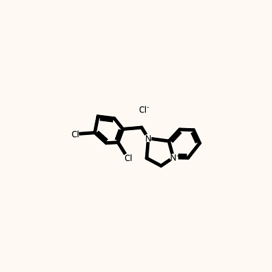 Clc1ccc(CN2CC[n+]3ccccc32)c(Cl)c1.[Cl-]